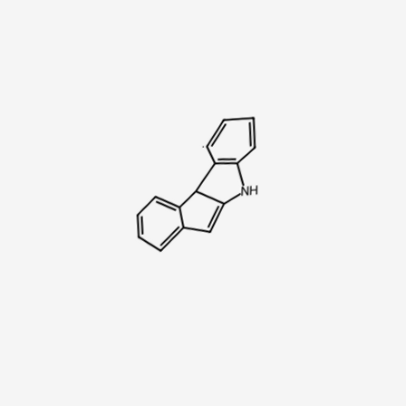 [c]1cccc2c1C1C(=Cc3ccccc31)N2